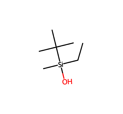 CC[Si](C)(O)C(C)(C)C